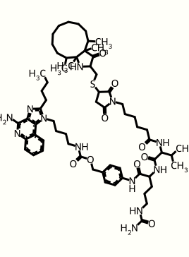 CCCCc1nc2c(N)nc3ccccc3c2n1CCCCNC(=O)OCc1ccc(NC(=O)C(CCCNC(N)=O)NC(=O)C(NC(=O)CCCCCN2C(=O)CC(SCC3NC4(C)C(C)CCCCCCCC(C)C4(C)C3=O)C2=O)C(C)C)cc1